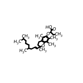 CCC(Oc1c(C)c(C)c2c(c1C)CCC(C)(C=CCC(C)CCCC(C)C)O2)C(=O)O